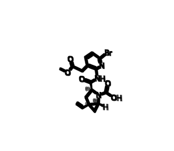 C=C[C@@]12C[C@@H](C(=O)Nc3nc(Br)ccc3CC(=O)OC)N(C(=O)O)[C@@H]1C2